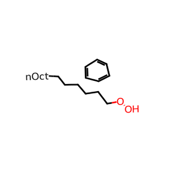 CCCCCCCCCCCCCCOO.c1ccccc1